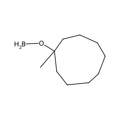 BOC1(C)CCCCCCCC1